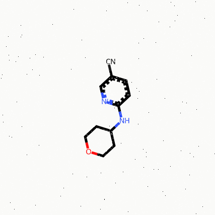 N#Cc1ccc(NC2CCOCC2)nc1